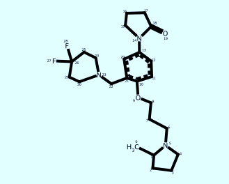 CC1CCCN1CCCOc1ccc(N2CCCC2=O)cc1CN1CCC(F)(F)CC1